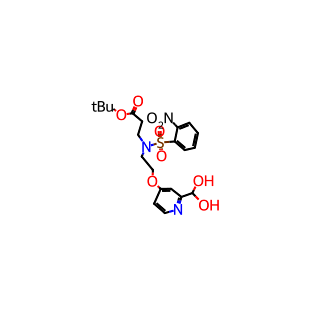 CC(C)(C)OC(=O)CCN(CCOc1ccnc(C(O)O)c1)S(=O)(=O)c1ccccc1[N+](=O)[O-]